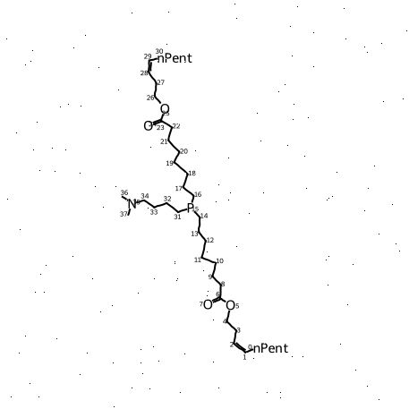 CCCCC/C=C\CCOC(=O)CCCCCCCP(CCCCCCCC(=O)OCC/C=C\CCCCC)CCCCN(C)C